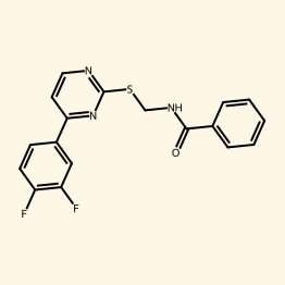 O=C(NCSc1nccc(-c2ccc(F)c(F)c2)n1)c1ccccc1